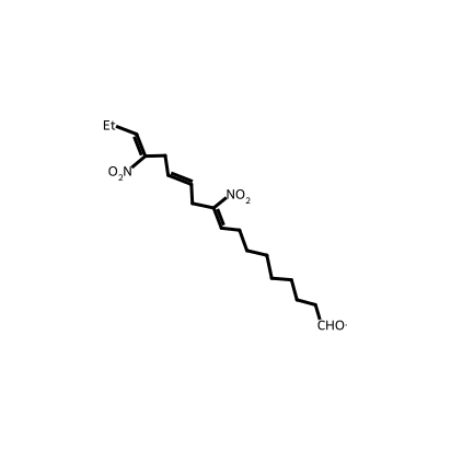 CC/C=C(/C/C=C/C/C(=C/CCCCCCC[C]=O)[N+](=O)[O-])[N+](=O)[O-]